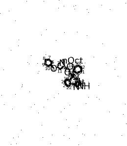 CCCCCCCCN1C[C@H](Oc2ccccc2)C[C@H]1C(=O)On1c(-c2ccccc2-c2nn[nH]n2)nc2ccccc21